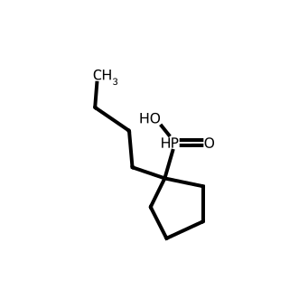 CCCCC1([PH](=O)O)CCCC1